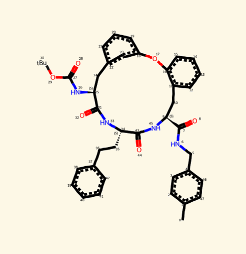 Cc1ccc(CNC(=O)[C@@H]2Cc3ccccc3Oc3cccc(c3)C[C@H](NC(=O)OC(C)(C)C)C(=O)N[C@@H](CCc3ccccc3)C(=O)N2)cc1